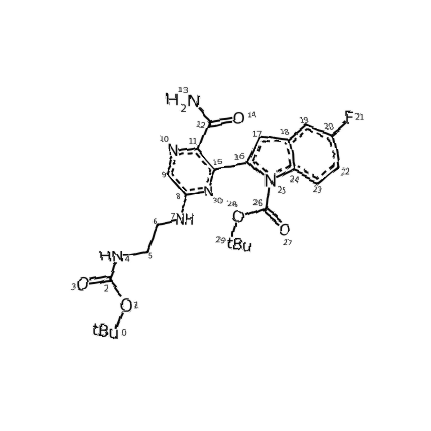 CC(C)(C)OC(=O)NCCNc1cnc(C(N)=O)c(-c2cc3cc(F)ccc3n2C(=O)OC(C)(C)C)n1